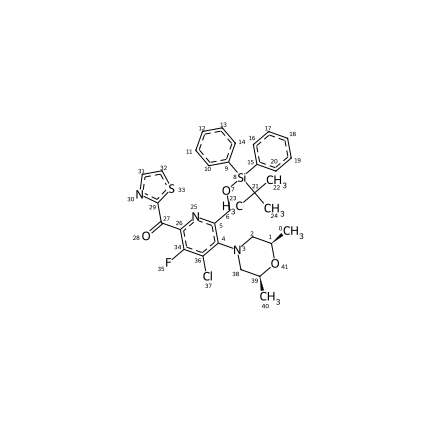 C[C@@H]1CN(c2c(CO[Si](c3ccccc3)(c3ccccc3)C(C)(C)C)nc(C(=O)c3nccs3)c(F)c2Cl)C[C@H](C)O1